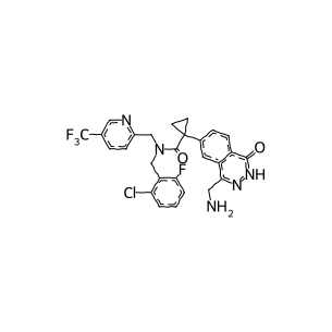 NCc1n[nH]c(=O)c2ccc(C3(C(=O)N(Cc4ccc(C(F)(F)F)cn4)Cc4c(F)cccc4Cl)CC3)cc12